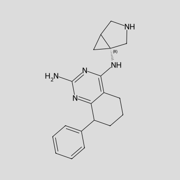 Nc1nc(N[C@@]23CNCC2C3)c2c(n1)C(c1ccccc1)CCC2